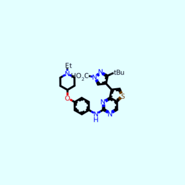 CCN1CCC(Oc2ccc(Nc3ncc4scc(-c5cn(C(=O)O)nc5C(C)(C)C)c4n3)cc2)CC1